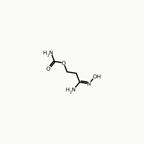 NC(=O)OCC/C(N)=N\O